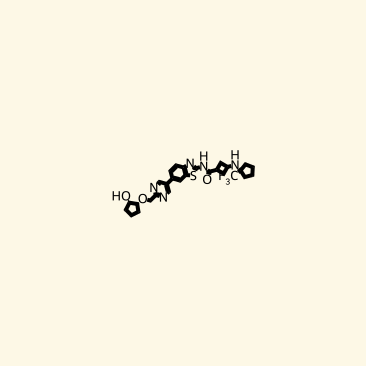 O=C(Nc1nc2ccc(-c3cnc(CO[C@H]4CCC[C@@H]4O)nc3)cc2s1)C1CC(NC2(C(F)(F)F)CCCC2)C1